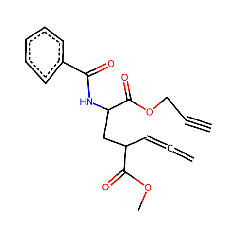 C#CCOC(=O)C(CC(C=C=C)C(=O)OC)NC(=O)c1ccccc1